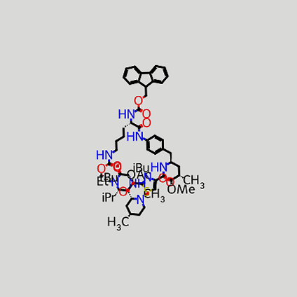 CC[C@H](C)[C@H](NC(=O)[C@H]1C[C@H](C)CCN1C)C(=O)N(CC)[C@H](C[C@@H](OC(C)=O)c1nc(C(=O)N[C@@H](Cc2ccc(NC(=O)[C@H](CCCCNC(=O)OC(C)(C)C)NC(=O)OCC3c4ccccc4-c4ccccc43)cc2)C[C@H](C)C(=O)OC)cs1)C(C)C